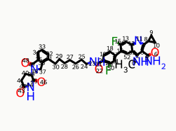 CNc1c(C(N)=O)c(C2CC2)nc2cc(F)c(-c3ccc(C(=O)NCCCCCCCc4cccc5c4CN(C4CCC(=O)NC4=O)C5=O)c(F)c3)cc12